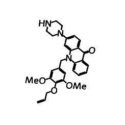 C=CCOc1c(OC)cc(Cn2c3ccccc3c(=O)c3ccc(N4CCNCC4)cc32)cc1OC